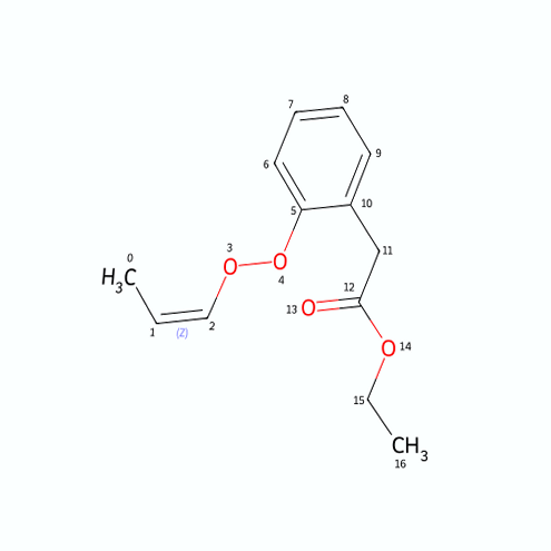 C/C=C\OOc1ccccc1CC(=O)OCC